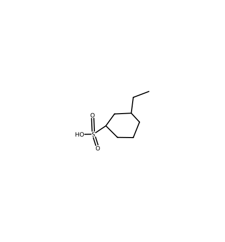 CCC1CCCC(S(=O)(=O)O)C1